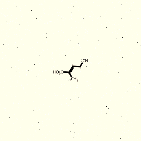 CC(=CCC#N)C(=O)O